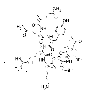 CC(C)C[C@H](NC(=O)[C@H](CC(C)C)NC(=O)[C@H](CCCCN)NC(=O)[C@H](CCCNC(=N)N)NC(=O)[C@H](Cc1ccc(O)cc1)NC(=O)[C@H](CCC(N)=O)NC(=O)[C@@H](C)CCC(N)=O)C(=O)N[C@@H](C)C(N)=O